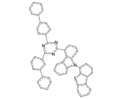 c1ccc(-c2ccc(-c3nc(-c4cccc(-c5ccccc5)c4)nc(-c4cccc5c4c4ccccc4n5-c4cccc5c4sc4ccccc45)n3)cc2)cc1